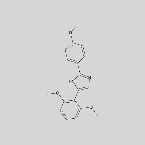 COc1ccc(-c2ncc(-c3c(OC)cccc3OC)[nH]2)cc1